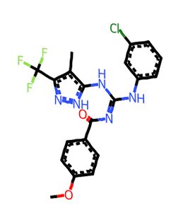 COc1ccc(C(=O)/N=C(/Nc2cccc(Cl)c2)Nc2[nH]nc(C(F)(F)F)c2C)cc1